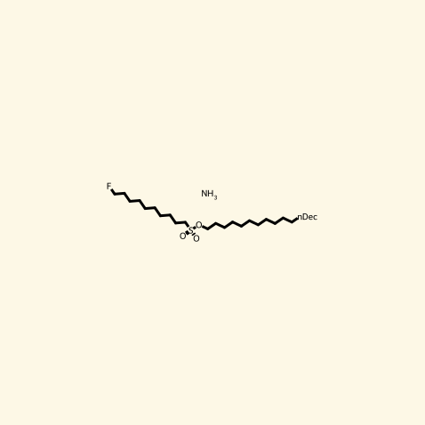 CCCCCCCCCCCCCCCCCCCCCOS(=O)(=O)CCCCCCCCCCF.N